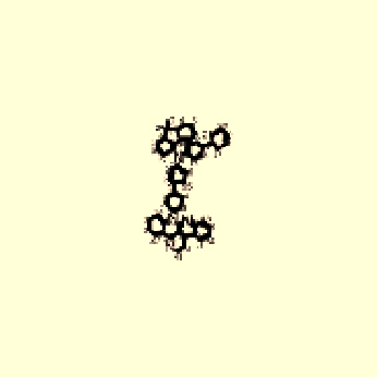 CC1(C)c2ccccc2-c2c(N(c3ccc(-c4ccccc4)cc3)c3ccc(-c4ccc(N5c6ccccc6-c6nccc7c6c5nc5ccccc57)cc4)cc3)cccc21